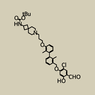 Cc1c(COc2cc(O)c(C=O)cc2Cl)cccc1-c1cccc(OCCCN2CCC3(CC2)CC(NC(=O)OC(C)(C)C)C3)c1C